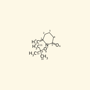 C=C1CCCC(=O)N1OC(C)(C)C